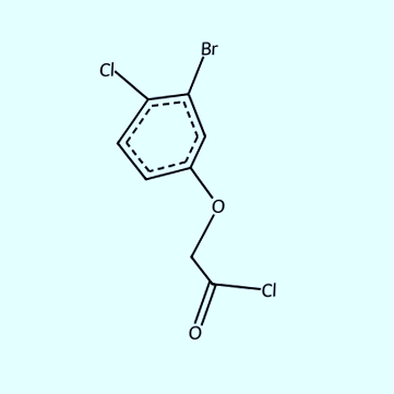 O=C(Cl)COc1ccc(Cl)c(Br)c1